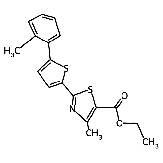 CCOC(=O)c1sc(-c2ccc(-c3ccccc3C)s2)nc1C